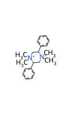 C[N+]1(C)CC(c2ccccc2)[N+](C)(C)CC1c1ccccc1